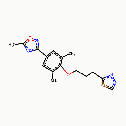 Cc1nc(-c2cc(C)c(OCCCc3nncs3)c(C)c2)no1